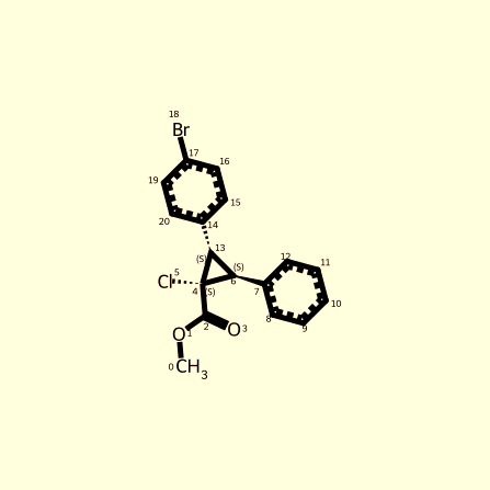 COC(=O)[C@]1(Cl)[C@H](c2ccccc2)[C@H]1c1ccc(Br)cc1